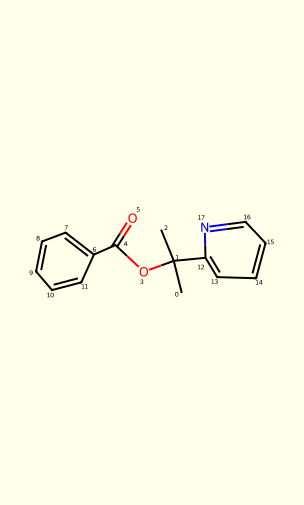 CC(C)(OC(=O)c1ccccc1)c1ccccn1